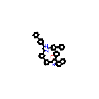 c1ccc(-c2ccc(-c3cc(-c4cccc(-c5cccc(-c6nc7ccc8ccccc8c7c7c6oc6ccccc67)c5)c4)nc(-c4ccc(-c5ccccc5)cc4)n3)cc2)cc1